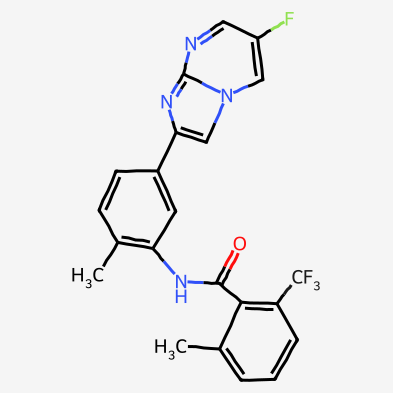 Cc1ccc(-c2cn3cc(F)cnc3n2)cc1NC(=O)c1c(C)cccc1C(F)(F)F